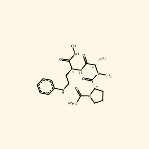 CCCCCC(=O)N1CCC[C@H]1C(=O)N(C)[C@H](C(=O)N[C@@H](CCNc1ccccc1)C(=O)NO)C(C)CC